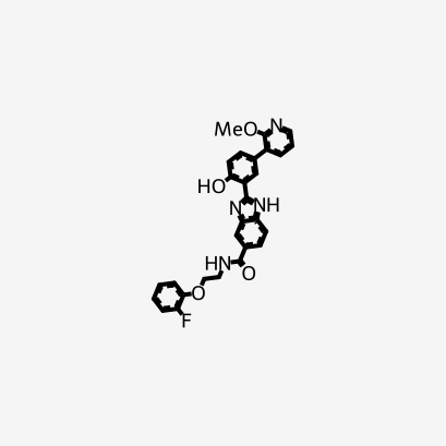 COc1ncccc1-c1ccc(O)c(-c2nc3cc(C(=O)NCCOc4ccccc4F)ccc3[nH]2)c1